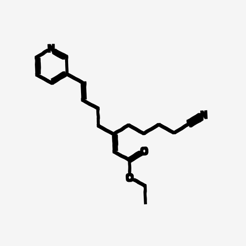 CCOC(=O)/C=C(/CC/C=C/c1cccnc1)CCCCC#N